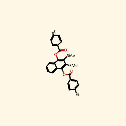 CCc1ccc(C(=O)Oc2c(SC)c(SC)c(OC(=O)c3ccc(CC)cc3)c3ccccc23)cc1